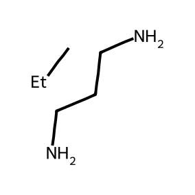 CCC.NCCCN